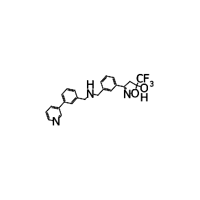 OC1(C(F)(F)F)CC(c2cccc(CNCc3cccc(-c4cccnc4)c3)c2)=NO1